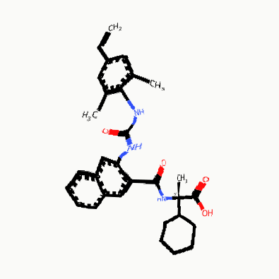 C=Cc1cc(C)c(NC(=O)Nc2cc3ccccc3cc2C(=O)N[C@](C)(C(=O)O)C2CCCCC2)c(C)c1